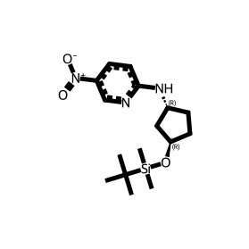 CC(C)(C)[Si](C)(C)O[C@@H]1CC[C@@H](Nc2ccc([N+](=O)[O-])cn2)C1